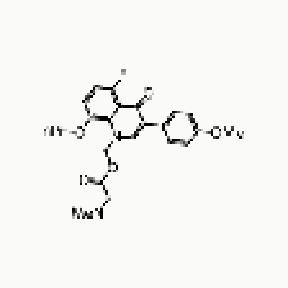 CCCOc1ccc(F)c2c(=O)c(-c3ccc(OC)cc3)cn(COC(=O)CNC)c12